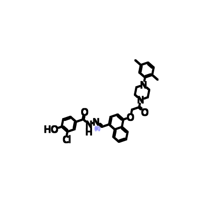 Cc1ccc(C)c(N2CCN(C(=O)COc3ccc(/C=N/NC(=O)c4ccc(O)c(Cl)c4)c4ccccc34)CC2)c1